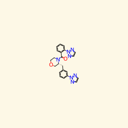 O=C(c1ccccc1-n1nccn1)N1CCOC[C@H]1Cc1cccc(-n2nccn2)c1